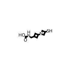 O=C(O)NCC1CC(N2CC(S)C2)C1